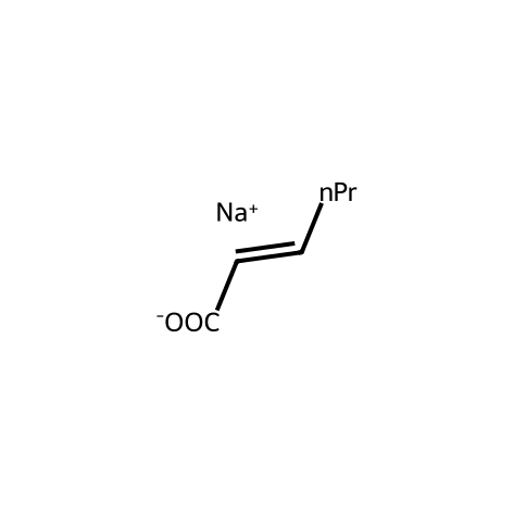 CCCC=CC(=O)[O-].[Na+]